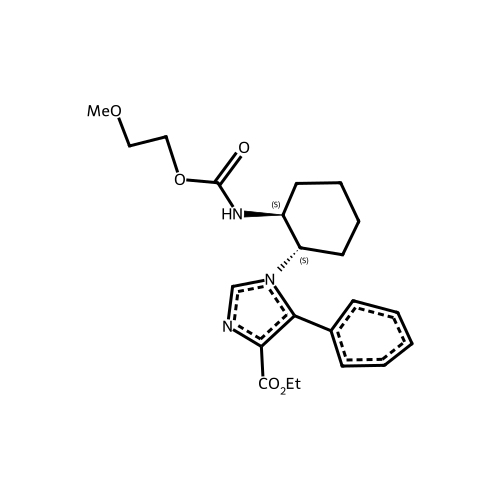 CCOC(=O)c1ncn([C@H]2CCCC[C@@H]2NC(=O)OCCOC)c1-c1ccccc1